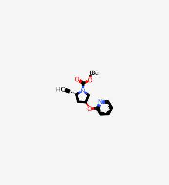 C#C[C@H]1C[C@H](Oc2ccccn2)CN1C(=O)OC(C)(C)C